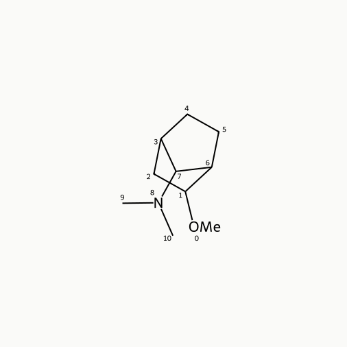 COC1CC2CCC1C2N(C)C